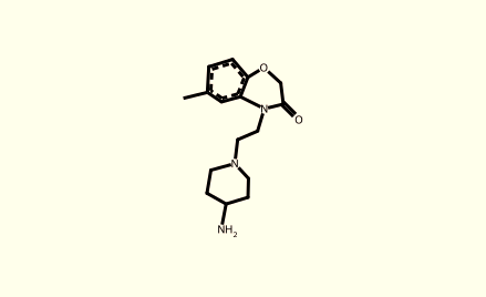 Cc1ccc2c(c1)N(CCN1CCC(N)CC1)C(=O)CO2